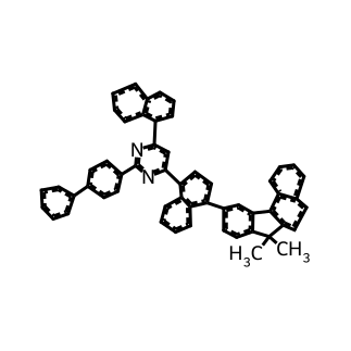 CC1(C)c2ccc(-c3ccc(-c4cc(-c5cccc6ccccc56)nc(-c5ccc(-c6ccccc6)cc5)n4)c4ccccc34)cc2-c2c1ccc1ccccc21